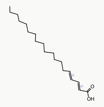 CCCCCCCCCCCCCC/C=C/C=C/C(=O)O